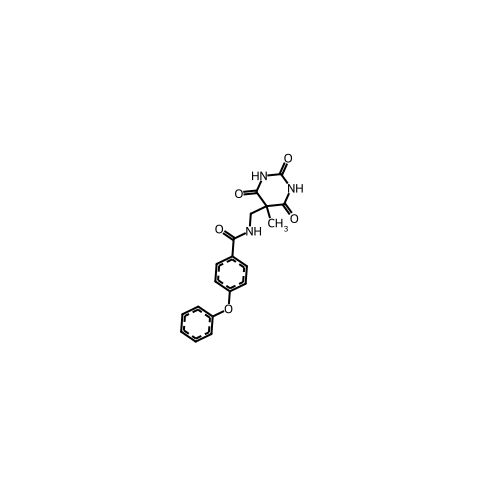 CC1(CNC(=O)c2ccc(Oc3ccccc3)cc2)C(=O)NC(=O)NC1=O